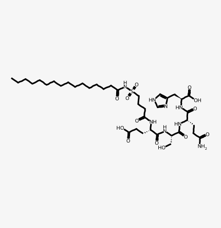 CCCCCCCCCCCCCCCC(=O)NS(=O)(=O)CCCC(=O)N[C@@H](CCC(=O)O)C(=O)N[C@@H](CO)C(=O)N[C@@H](CCC(N)=O)C(=O)N[C@@H](Cc1c[nH]cn1)C(=O)O